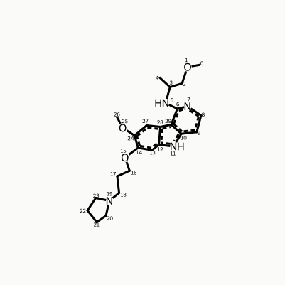 COCC(C)Nc1nccc2[nH]c3cc(OCCCN4CCCC4)c(OC)cc3c12